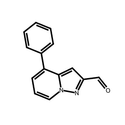 O=Cc1cc2c(-c3ccccc3)cccn2n1